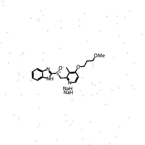 COCCCOc1ccnc(C[S@+]([O-])c2nc3ccccc3[nH]2)c1C.[NaH].[NaH]